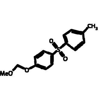 COCOc1ccc(S(=O)(=O)c2ccc(C)cc2)cc1